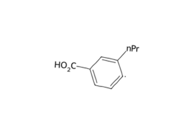 CCCc1[c]ccc(C(=O)O)c1